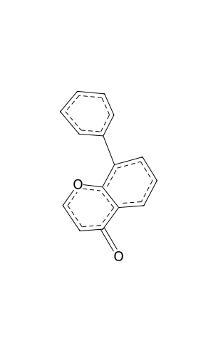 O=c1ccoc2c(-c3ccccc3)cccc12